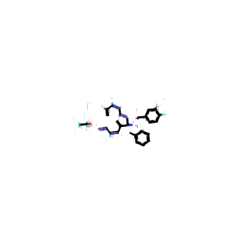 C=C(/C(F)=C\C=C\[C@@](Cc1ccccc1)(NC(=O)c1ccc(F)c(C(F)(F)F)c1)C(=C)/C=C(F)\C=C\OC(F)(F)C(F)F)C(F)(F)F